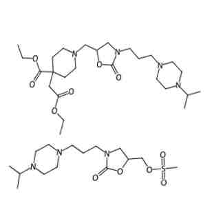 CC(C)N1CCN(CCCN2CC(COS(C)(=O)=O)OC2=O)CC1.CCOC(=O)CC1(C(=O)OCC)CCN(CC2CN(CCCN3CCN(C(C)C)CC3)C(=O)O2)CC1